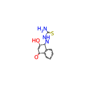 NC(=S)NN=C1C(O)=CC(=O)c2ccccc21